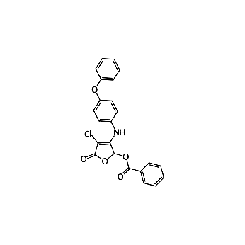 O=C1OC(OC(=O)c2ccccc2)C(Nc2ccc(Oc3ccccc3)cc2)=C1Cl